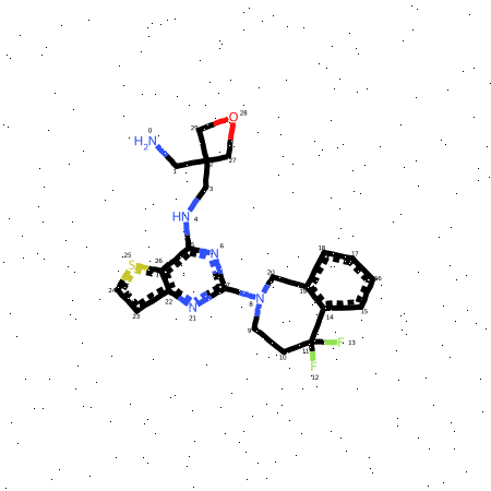 NCC1(CNc2nc(N3CCC(F)(F)c4ccccc4C3)nc3ccsc23)COC1